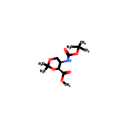 COC(=O)[C@H]1OC(C)(C)OC[C@H]1NC(=O)OC(C)(C)C